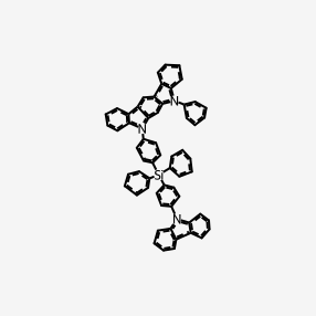 c1ccc(-n2c3ccccc3c3cc4c5ccccc5n(-c5ccc([Si](c6ccccc6)(c6ccccc6)c6ccc(-n7c8ccccc8c8ccccc87)cc6)cc5)c4cc32)cc1